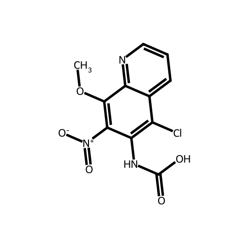 COc1c([N+](=O)[O-])c(NC(=O)O)c(Cl)c2cccnc12